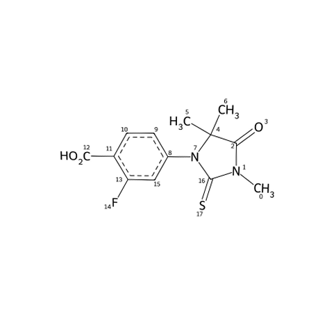 CN1C(=O)C(C)(C)N(c2ccc(C(=O)O)c(F)c2)C1=S